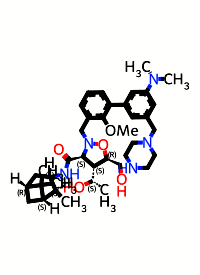 COc1c(CN2O[C@@H](CO)[C@H]([C@H](C)O)[C@H]2C(=O)N[C@H]2C[C@H]3C[C@@H]([C@@H]2C)C3(C)C)cccc1-c1cc(CN2CCNCC2)cc(N(C)C)c1